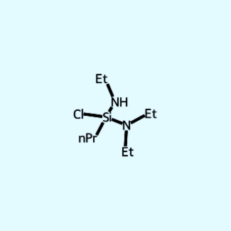 CCC[Si](Cl)(NCC)N(CC)CC